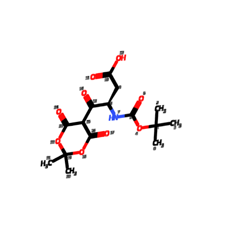 CC(C)(C)OC(=O)N[C@H](CC(=O)O)C(=O)C1C(=O)OC(C)(C)OC1=O